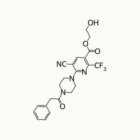 N#Cc1cc(C(=O)OCCO)c(C(F)(F)F)nc1N1CCN(C(=O)Cc2ccccc2)CC1